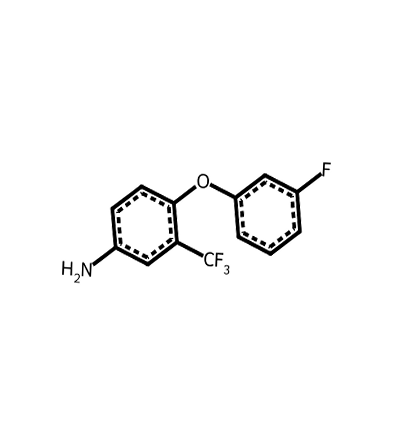 Nc1ccc(Oc2cccc(F)c2)c(C(F)(F)F)c1